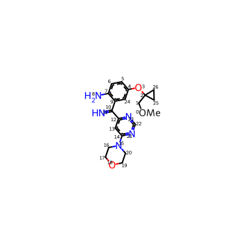 COCC1(Oc2ccc(N)c(C(=N)c3cc(N4CCOCC4)ncn3)c2)CC1